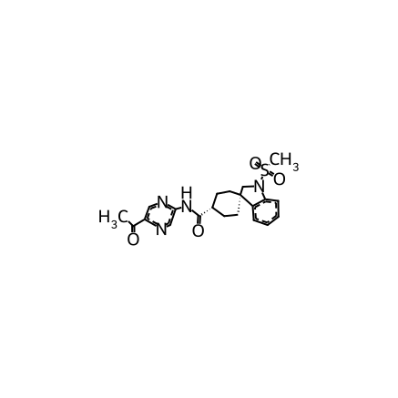 CC(=O)c1cnc(NC(=O)[C@H]2CC[C@]3(CC2)CN(S(C)(=O)=O)c2ccccc23)cn1